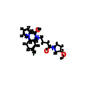 COC1CCN(C(=O)CCCn2c3c(n4cccc4c2=O)CCC(F)=C3)C1